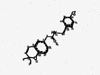 CC1(C)C=Cc2cc(CC(=O)NCc3ccc(Cl)cc3)ccc2O1